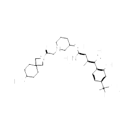 CC(/C=C(\N)NC1CCCN(CC(=O)N2CC3(CCC(O)CC3)C2)C1)=C(/N)c1ccc(C(F)(F)P)cc1O